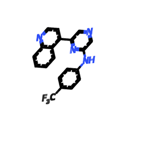 FC(F)(F)c1ccc(Nc2cncc(-c3ccnc4ccccc34)n2)cc1